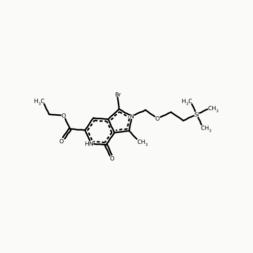 CCOC(=O)c1cc2c(Br)n(COCC[Si](C)(C)C)c(C)c2c(=O)[nH]1